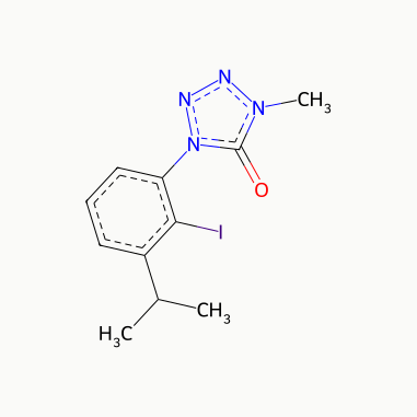 CC(C)c1cccc(-n2nnn(C)c2=O)c1I